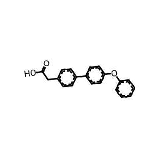 O=C(O)Cc1ccc(-c2ccc(Oc3ccccc3)cc2)cc1